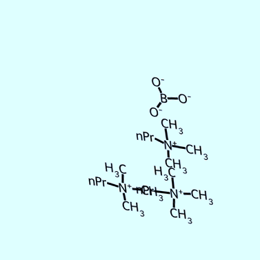 CCC[N+](C)(C)C.CCC[N+](C)(C)C.CCC[N+](C)(C)C.[O-]B([O-])[O-]